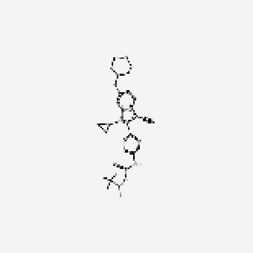 CC(OC(=O)Nc1ccc(-c2c(C#N)c3ccc(OC4CCOCC4)cc3n2C2CC2)cc1)C(C)(C)C